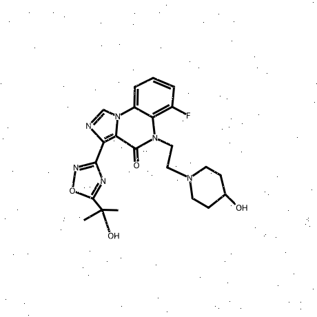 CC(C)(O)c1nc(-c2ncn3c2c(=O)n(CCN2CCC(O)CC2)c2c(F)cccc23)no1